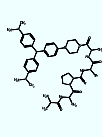 CC(N)C(=O)NC(C)C(=O)N1CCCC1C(=O)NC(C(=O)NC(C)C(=O)N1CCN(c2ccc(C(c3ccc(N(C)C)cc3)c3ccc(N(C)C)cc3)cc2)CC1)C(C)C